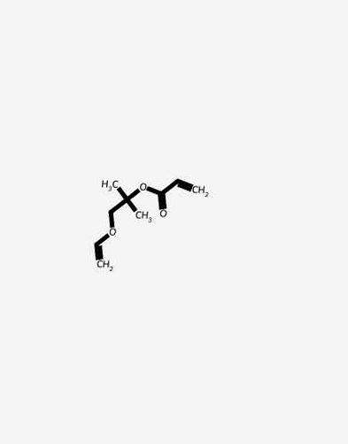 C=COCC(C)(C)OC(=O)C=C